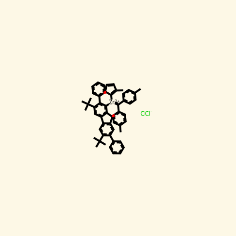 CC1=[C]([Zr+2](=[C](c2ccc(C)cc2)c2ccc(C)cc2)[c]2c3c(cc(C(C)(C)C)c2-c2ccccc2)-c2cc(C(C)(C)C)c(-c4ccccc4)cc2C3)CC=C1.[Cl-].[Cl-]